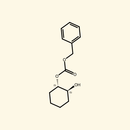 O=C(OCc1ccccc1)O[C@H]1CCCC[C@@H]1O